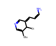 CCC1C(C(C)(C)C)=CN=C/C1=C/C=C\N